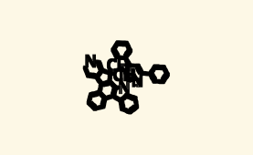 CC1(C)c2cnccc2-c2c1c1c(c3ccccc23)c2ccccc2n1-c1nc(-c2ccccc2)cc(-c2ccccc2)n1